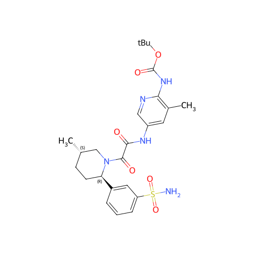 Cc1cc(NC(=O)C(=O)N2C[C@@H](C)CC[C@@H]2c2cccc(S(N)(=O)=O)c2)cnc1NC(=O)OC(C)(C)C